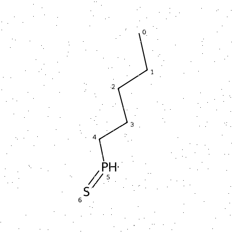 CCCCC[PH]=S